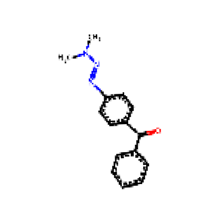 CN(C)/N=N/c1ccc(C(=O)c2ccccc2)cc1